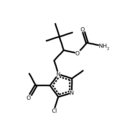 CC(=O)c1c(Cl)nc(C)n1CC(OC(N)=O)C(C)(C)C